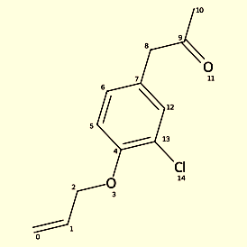 C=CCOc1ccc(CC(C)=O)cc1Cl